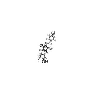 Cc1cc2c(cc1O)CN1C(=S)N(CCc3ccc(Cl)cc3)C(=O)C1C2